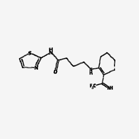 N=C(C1=C(NCCCC(=O)Nc2nccs2)CCCC1)C(F)(F)F